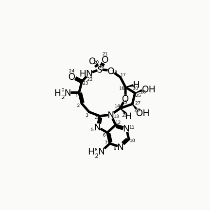 N/C1=C/Cc2nc3c(N)ncnc3n2[C@@H]2O[C@H](COS(=O)(=O)NC1=O)[C@@H](O)[C@H]2O